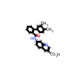 Cc1ccc(-c2ccccc2C(=O)Nc2ccc3cc(C(=O)O)cnc3c2)cc1C